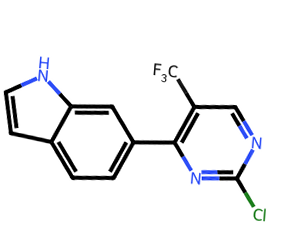 FC(F)(F)c1cnc(Cl)nc1-c1ccc2cc[nH]c2c1